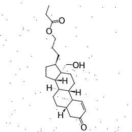 CCC(=O)OCCC[C@@H]1CC[C@H]2[C@@H]3CC[C@H]4CC(=O)C=C[C@]4(C)[C@H]3CC[C@]12CO